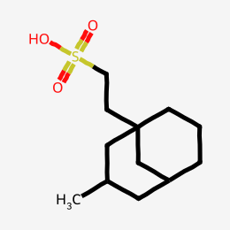 CC1CC2CCCC(CCS(=O)(=O)O)(C1)C2